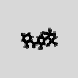 CCS(=O)(=O)N(c1cc(Br)c(C(=O)c2ccc(F)cc2Cl)cc1F)S(=O)(=O)CC